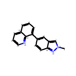 Cn1cc2cc(-c3cccc4cccnc34)ccc2n1